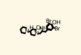 CNC(Cc1cc(Br)c(O)c(Br)c1)CN1CCC(N2CCCCC2)CC1